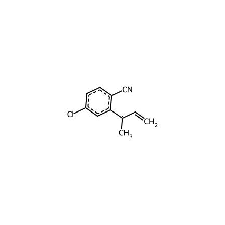 C=C[C](C)c1cc(Cl)ccc1C#N